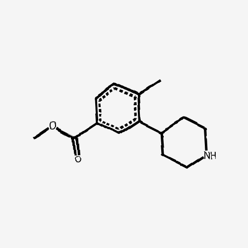 COC(=O)c1ccc(C)c(C2CCNCC2)c1